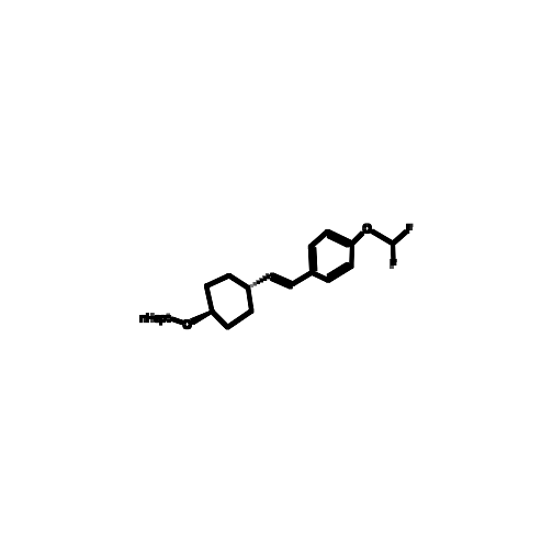 CCCCCCCO[C@H]1CC[C@H](C=Cc2ccc(OC(F)F)cc2)CC1